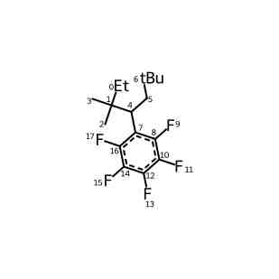 CCC(C)(C)C(CC(C)(C)C)c1c(F)c(F)c(F)c(F)c1F